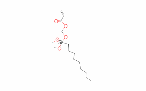 C=CC(=O)OCO[Si](CCCCCCCCC)(OC)OC